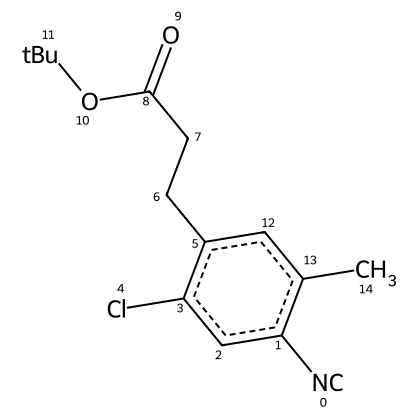 [C-]#[N+]c1cc(Cl)c(CCC(=O)OC(C)(C)C)cc1C